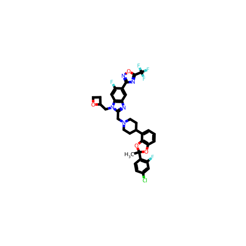 CC1(c2ccc(Cl)cc2F)Oc2cccc(C3CCN(Cc4nc5cc(-c6noc(C(F)(F)F)n6)c(F)cc5n4CC4CCO4)CC3)c2O1